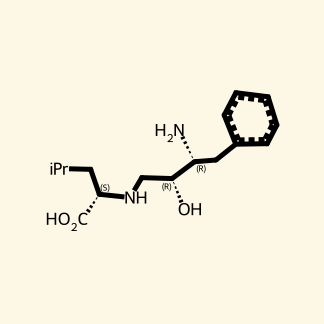 CC(C)C[C@H](NC[C@@H](O)[C@H](N)Cc1ccccc1)C(=O)O